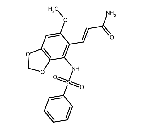 COc1cc2c(c(NS(=O)(=O)c3ccccc3)c1/C=C/C(N)=O)OCO2